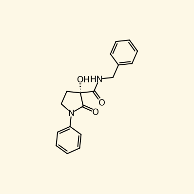 O=C(NCc1ccccc1)[C@]1(O)CCN(c2ccccc2)C1=O